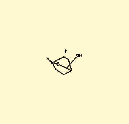 C[N+]12CCC(CC1)C(O)C2.[I-]